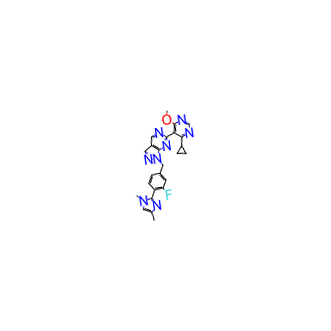 COc1ncnc(C2CC2)c1-c1ncc2cnn(Cc3ccc(-c4nc(C)cn4C)c(F)c3)c2n1